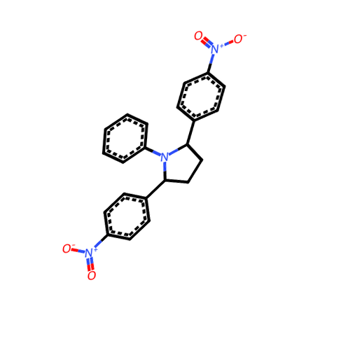 O=[N+]([O-])c1ccc(C2CCC(c3ccc([N+](=O)[O-])cc3)N2c2ccccc2)cc1